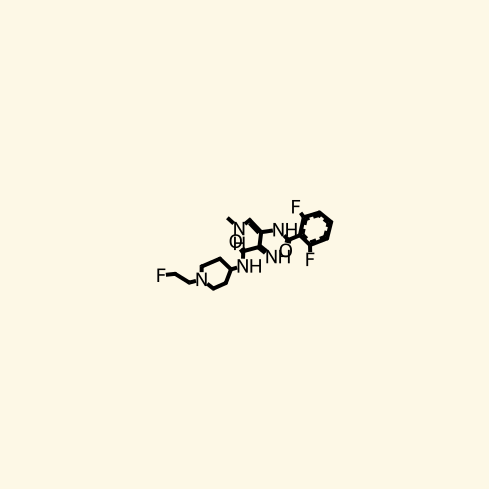 CN/C=C(/NC(=O)c1c(F)cccc1F)C(=N)C(=O)NC1CCN(CCF)CC1